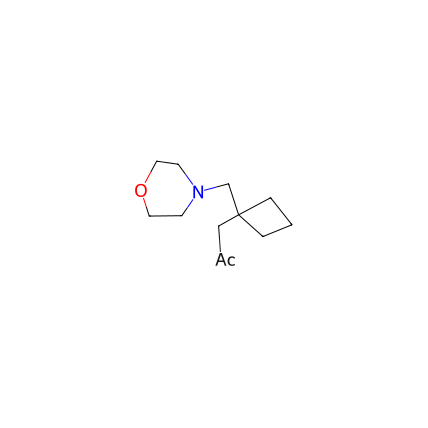 CC(=O)CC1(CN2CCOCC2)CCC1